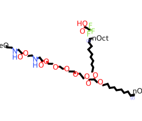 CCCCCCCC/C=C\CCCCCCCCOCC(OCCCCCCCC/C=C\CCCCCCCC)C(=O)OCCOCCOCCOCCOC(=O)CNCCOC(=O)CNCCOC.O=C(O)C(F)(F)F